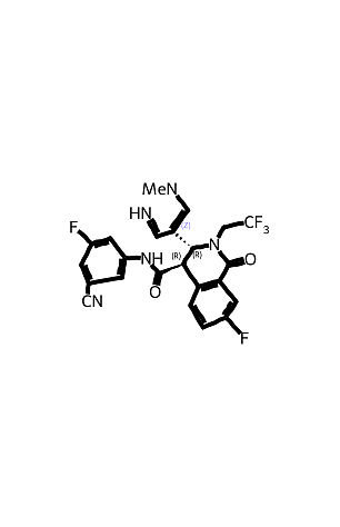 CN/C=C(\C=N)[C@H]1[C@H](C(=O)Nc2cc(F)cc(C#N)c2)c2ccc(F)cc2C(=O)N1CC(F)(F)F